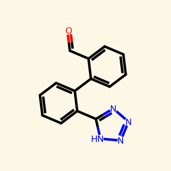 O=Cc1ccccc1-c1ccccc1-c1nnn[nH]1